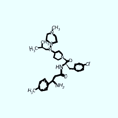 Cc1ccc(C(N)CC(=O)N[C@H](Cc2ccc(Cl)cc2)C(=O)N2CCC(N(CC(C)C)N3CCN(C)CC3)CC2)cc1